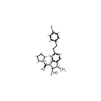 CN1c2cnc(CCc3ccc(F)cc3)nc2N(C(=O)N2CCCC2)C1C=O